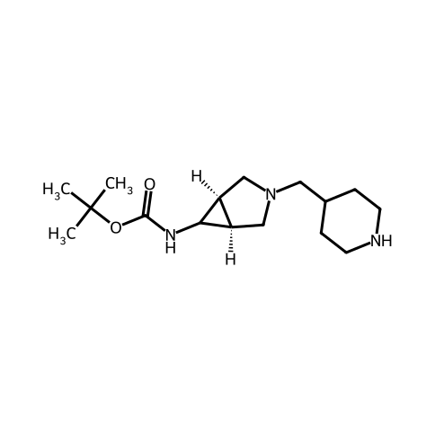 CC(C)(C)OC(=O)NC1[C@H]2CN(CC3CCNCC3)C[C@@H]12